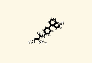 NC(=CO)C(=O)Nc1ccc(-c2ccnc3[nH]ccc23)cc1